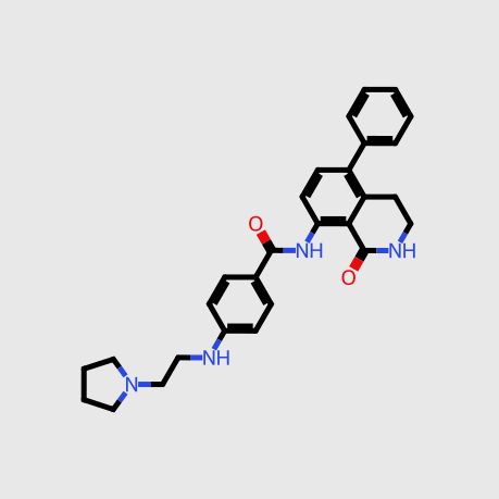 O=C(Nc1ccc(-c2ccccc2)c2c1C(=O)NCC2)c1ccc(NCCN2CCCC2)cc1